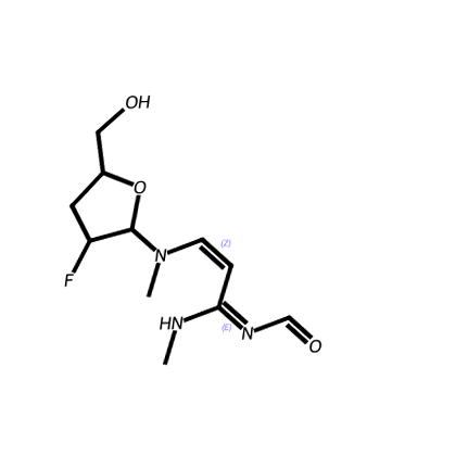 CNC(/C=C\N(C)C1OC(CO)CC1F)=N/C=O